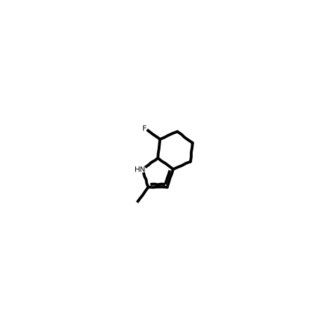 CC1=C=C2CCCC(F)C2N1